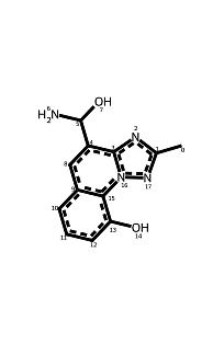 Cc1nc2c(C(N)O)cc3cccc(O)c3n2n1